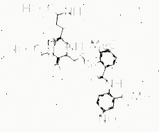 COc1cc([N+](=O)[O-])ccc1NC(=O)c1cccc(OC)c1[Se]SCC(NC(=O)CCC(N)C(=O)O)C(=O)NCC(=O)O